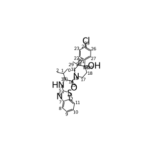 CC(C)[C@@H](Nc1nc2ccccc2s1)C(=O)N1CC[C@](O)(c2ccc(Cl)cc2)C(C)(C)C1